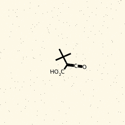 CC(C)(C)C(=C=O)C(=O)O